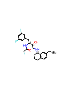 CC(C)(C)Cc1ccc2c(c1)[C@@H](NC[C@@H](O)[C@H](Cc1cc(F)cc(F)c1)NC(=O)CF)CCC2